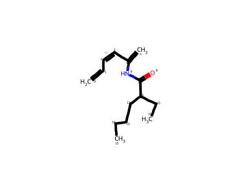 C=C/C=C\C(=C)NC(=O)C(CC)CCCC